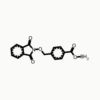 BOC(=O)c1ccc(CON2C(=O)c3ccccc3C2=O)cc1